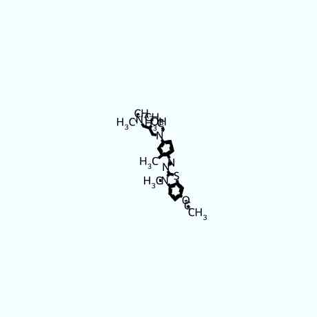 CCOc1ccc2c(c1)SC(N=Nc1ccc(N(CC)CC(O)C[N+](C)(C)C)cc1C)N2C